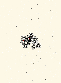 c1ccc(-c2ccccc2N(c2ccc3c(c2)-c2ccccc2-c2ccccc2O3)c2ccc3c(c2)C2(c4ccccc4-c4ccccc4-3)c3ccccc3-c3c2ccc2c3oc3ccccc32)cc1